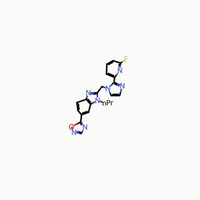 CCCn1c(Cn2ccnc2-c2cccc(F)n2)nc2ccc(-c3ncno3)cc21